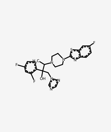 CC(N1CCN(c2nc3ccc(F)cc3s2)CC1)C(O)(Cn1cncn1)c1ccc(F)cc1F